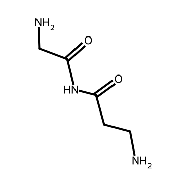 NCCC(=O)NC(=O)CN